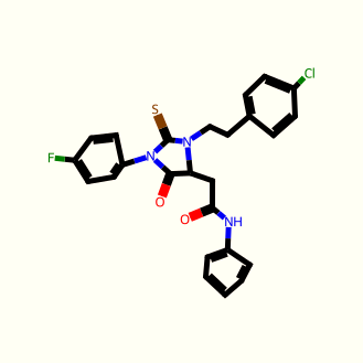 O=C(CC1C(=O)N(c2ccc(F)cc2)C(=S)N1CCc1ccc(Cl)cc1)Nc1ccccc1